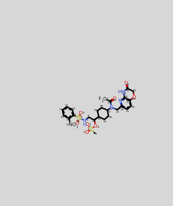 CS(=O)(=O)OC(CNS(=O)(=O)c1ccccc1[N+](=O)[O-])C1CCC(N(Cc2ccc3c(n2)NC(=O)CO3)C(=O)C(F)(F)F)CC1